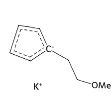 COCC[c-]1cccc1.[K+]